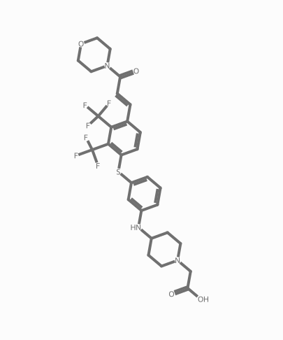 O=C(O)CN1CCC(Nc2cccc(Sc3ccc(/C=C/C(=O)N4CCOCC4)c(C(F)(F)F)c3C(F)(F)F)c2)CC1